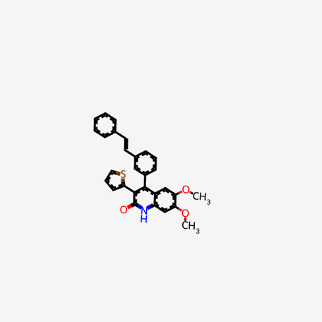 COc1cc2[nH]c(=O)c(-c3cccs3)c(-c3cccc(C=Cc4ccccc4)c3)c2cc1OC